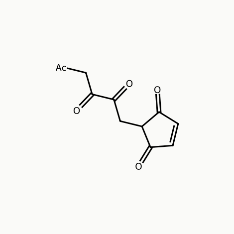 CC(=O)CC(=O)C(=O)CC1C(=O)C=CC1=O